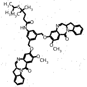 COc1cc2c(cc1OCc1cc(COc3cc4c(cc3OC)C(=O)N3c5ccccc5CC3C=N4)cc(NC(=O)CCC(C)(C)SC(C)C)c1)N=CC1Cc3ccccc3N1C2=O